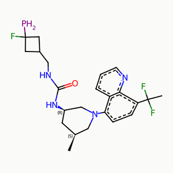 C[C@H]1C[C@@H](NC(=O)NCC2CC(F)(P)C2)CN(c2ccc(C(C)(F)F)c3ncccc23)C1